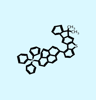 CC1(C)c2ccccc2-c2cc3c(cc21)sc1cccc(-c2ccc4ccc5c(S(c6ccccc6)(c6ccccc6)c6ccccc6)ccc6ccc2c4c65)c13